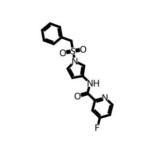 O=C(Nc1ccn(S(=O)(=O)Cc2ccccc2)c1)c1cc(F)ccn1